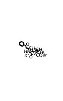 C/C(=C\C(=O)c1ccccc1)NC1C(=O)N2[C@@H]1SC(C)(C)[C@@H]2C(=O)[O-].[K+]